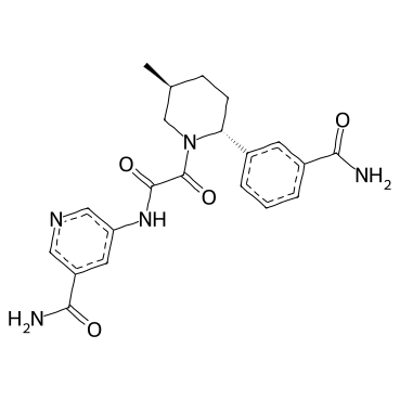 C[C@H]1CC[C@H](c2cccc(C(N)=O)c2)N(C(=O)C(=O)Nc2cncc(C(N)=O)c2)C1